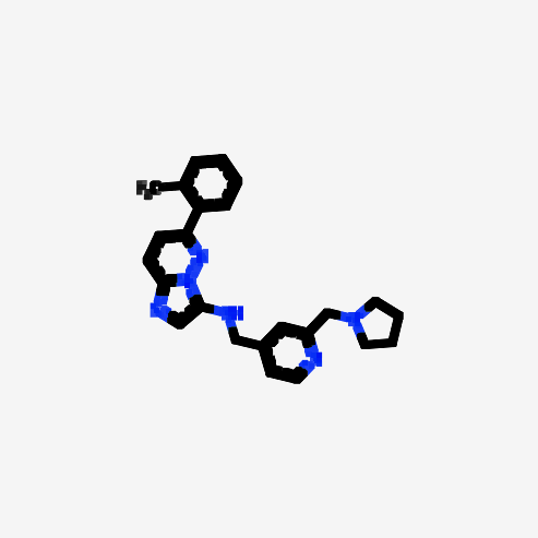 FC(F)(F)c1ccccc1-c1ccc2ncc(NCc3ccnc(CN4CCCC4)c3)n2n1